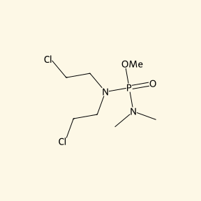 COP(=O)(N(C)C)N(CCCl)CCCl